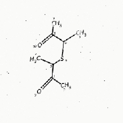 CC(=O)C(C)SC(C)C(C)=O